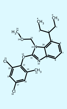 CCC(CC)c1cccc2nc(Oc3c(C)cc(Cl)cc3Cl)n(COC)c12